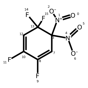 O=[N+]([O-])C1([N+](=O)[O-])C=C(F)C(F)=CC1(F)F